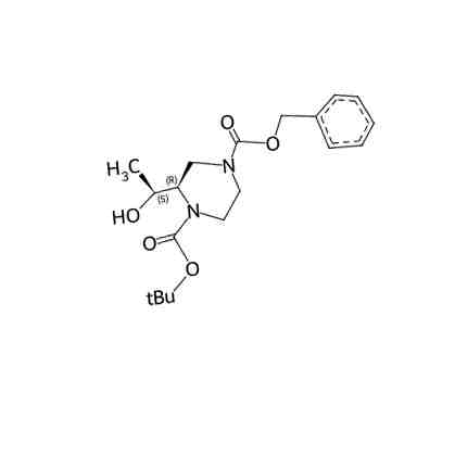 C[C@H](O)[C@H]1CN(C(=O)OCc2ccccc2)CCN1C(=O)OC(C)(C)C